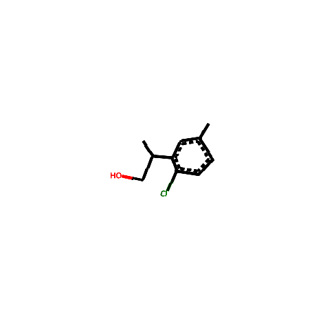 C[C](CO)c1cc(C)ccc1Cl